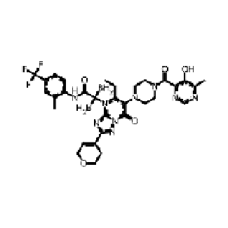 BC(B)(C(=O)Nc1ccc(C(F)(F)F)cc1C)n1c(CC)c(N2CCN(C(=O)c3ncnc(C)c3O)CC2)c(=O)n2nc(C3=CCOCC3)nc12